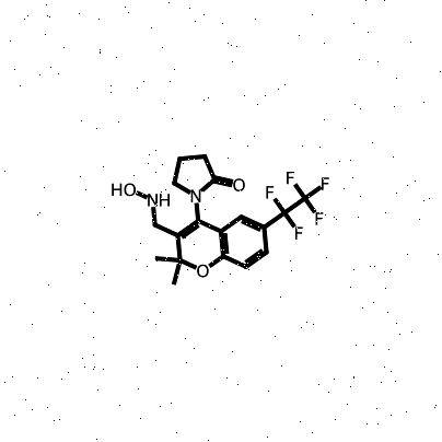 CC1(C)Oc2ccc(C(F)(F)C(F)(F)F)cc2C(N2CCCC2=O)=C1CNO